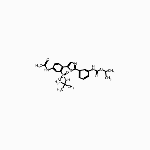 CC(=O)Nc1ccc(-c2cnc(-c3cccc(NC(=O)OC(C)C)c3)s2)c(S(=O)(=O)NC(C)(C)C)c1